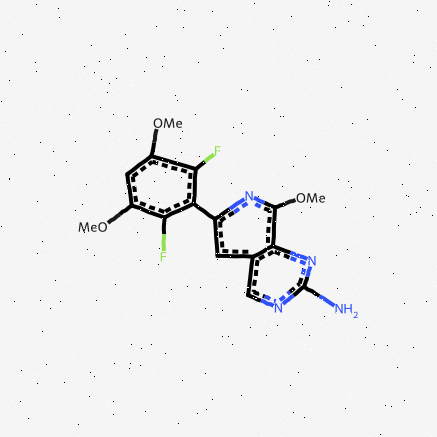 COc1cc(OC)c(F)c(-c2cc3cnc(N)nc3c(OC)n2)c1F